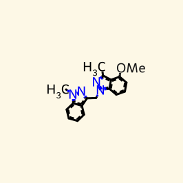 COc1cccc2c1c(C)nn2Cc1nn(C)c2ccccc12